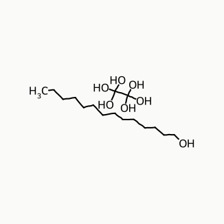 CCCCCCCCCCCCCCO.OC(O)(O)C(O)(O)O